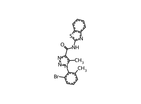 Cc1cccc(Br)c1-n1nnc(C(=O)Nc2nc3ccccc3s2)c1C